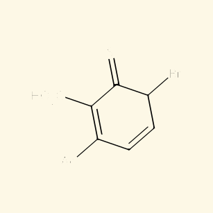 CC(=O)C1=C(C(=O)O)C(=S)C(Br)C=C1